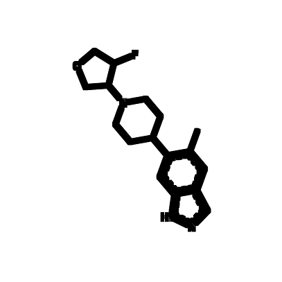 Cc1cc2cn[nH]c2cc1C1CCN(C2COCC2F)CC1